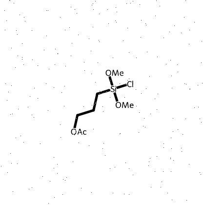 CO[Si](Cl)(CCCOC(C)=O)OC